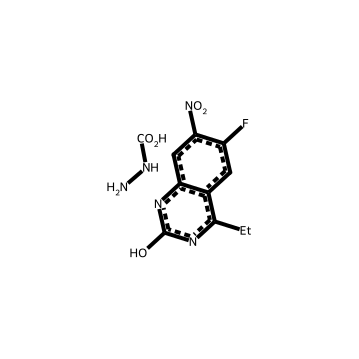 CCc1nc(O)nc2cc([N+](=O)[O-])c(F)cc12.NNC(=O)O